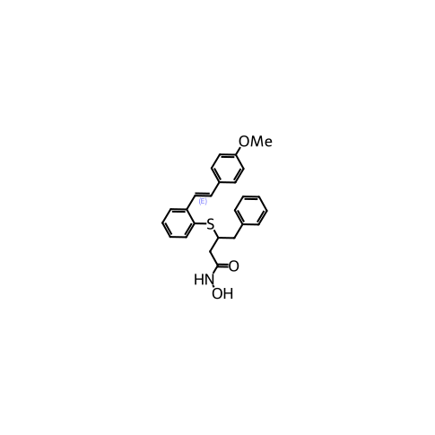 COc1ccc(/C=C/c2ccccc2SC(CC(=O)NO)Cc2ccccc2)cc1